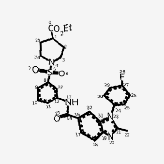 CCOC(=O)C1CCN(S(=O)(=O)c2cccc(NC(=O)c3ccc4nc(C)n(-c5ccc(F)cc5)c4c3)c2)CC1